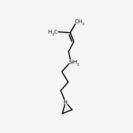 CC(C)=CC[SiH2]CCCN1CC1